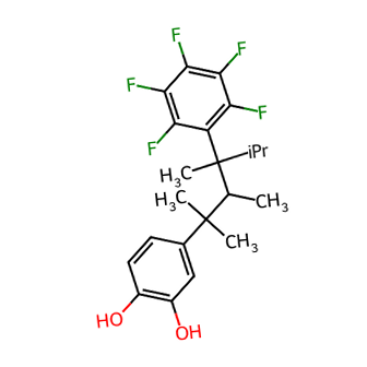 CC(C)C(C)(c1c(F)c(F)c(F)c(F)c1F)C(C)C(C)(C)c1ccc(O)c(O)c1